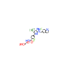 Cl.O=C(NOCCO)c1ccc(-c2ccc3nnn(Cc4cc5cccnc5cc4F)c3n2)cc1F